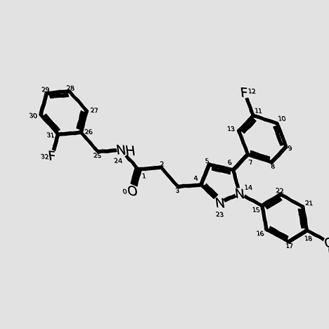 O=C(CCc1cc(-c2cccc(F)c2)n(-c2ccc(OC(F)(F)F)cc2)n1)NCc1ccccc1F